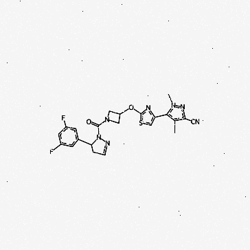 Cc1c(C#N)nn(C)c1-c1csc(OC2CN(C(=O)N3N=CCC3c3cc(F)cc(F)c3)C2)n1